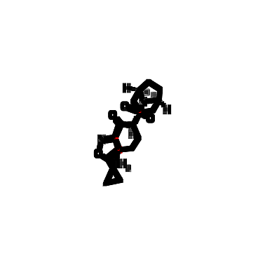 N[C@H]1CC[C@H](S(=O)(=O)N2[C@@H]3CC[C@H]2C[C@@H](NC(=O)c2cc(C4CC4)on2)C3)CC1